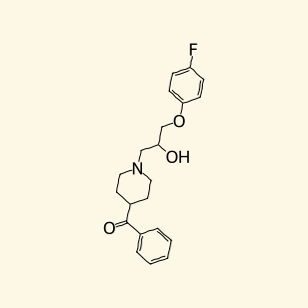 O=C(c1ccccc1)C1CCN(CC(O)COc2ccc(F)cc2)CC1